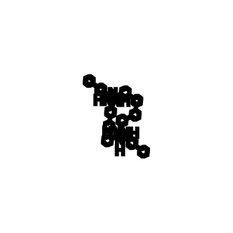 C1=CCCC(C2=CCC(C3NC(C4=CC(C5=CC=CC(c6cccc(C7CC=CC(C8N=C(c9ccc(-c%10ccccc%10)cc9)NC(C9=CCC(C%10=CCCCC%10)C=C9)N8)C7)c6)C5)CC=C4)NC(C4C=CCCC4)N3)C=C2)=C1